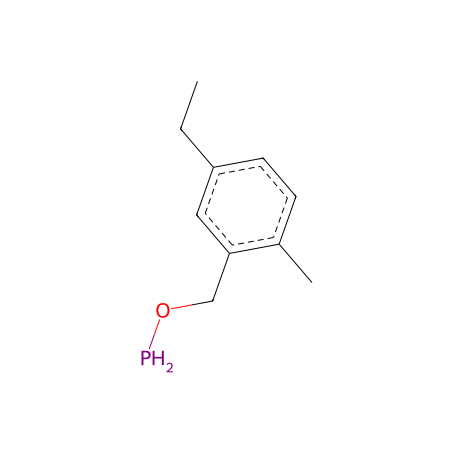 CCc1ccc(C)c(COP)c1